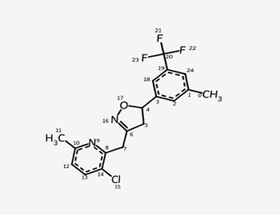 Cc1cc(C2CC(Cc3nc(C)ccc3Cl)=NO2)cc(C(F)(F)F)c1